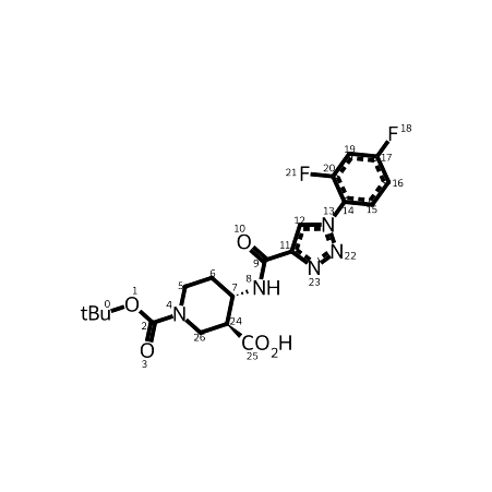 CC(C)(C)OC(=O)N1CC[C@H](NC(=O)c2cn(-c3ccc(F)cc3F)nn2)[C@@H](C(=O)O)C1